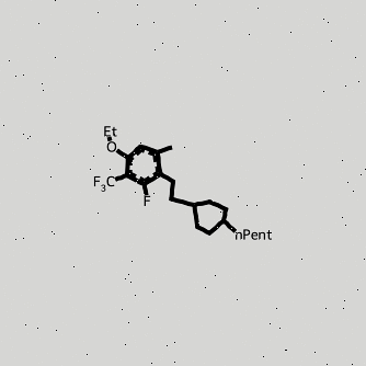 CCCCCC1CCC(CCc2c(C)cc(OCC)c(C(F)(F)F)c2F)CC1